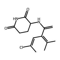 C=C(NC1CCC(=O)NC1=O)C(/C=C(\C)Cl)=C(C)C